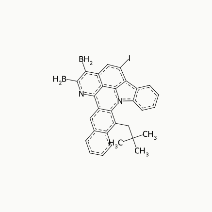 Bc1nc2c3cc4ccccc4c(CC(C)(C)C)c3n3c4ccccc4c4c(I)cc(c1B)c2c43